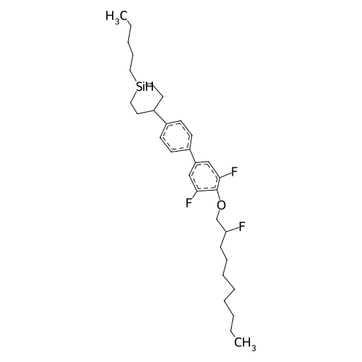 CCCCCCCCC(F)COc1c(F)cc(-c2ccc(C3CC[SiH](CCCCC)CC3)cc2)cc1F